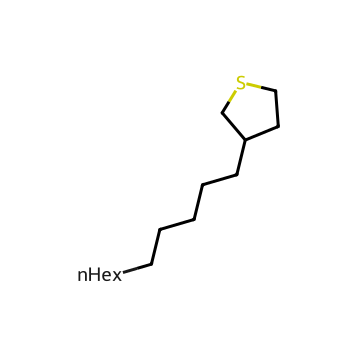 CCCCCCCCCCCC1CCSC1